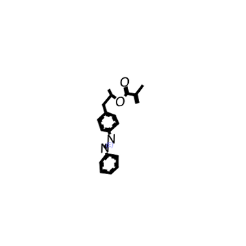 C=C(C)C(=O)OC(C)Cc1ccc(/N=N/c2ccccc2)cc1